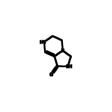 O=C1NCN2CCNC=C12